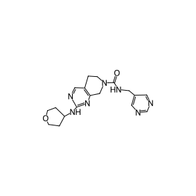 O=C(NCc1cncnc1)N1CCc2cnc(NC3CCOCC3)nc2C1